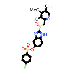 COc1c(C)cnc(C[S+]([O-])c2nc3cc(OS(=O)(=O)c4ccc(F)cc4)ccc3[nH]2)c1C